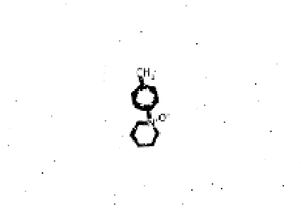 [CH2]c1ccc([N+]2([O-])CCCCC2)cc1